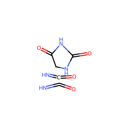 N=C=O.N=C=O.O=C1CNC(=O)N1